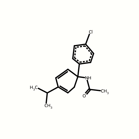 CC(=O)NC1(c2ccc(Cl)cc2)C=CC(C(C)C)=CC1